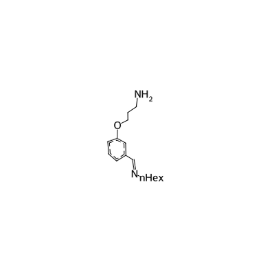 CCCCCCN=Cc1cccc(OCCCN)c1